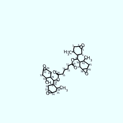 CC1CC2OC2CC1C(OC(=O)CCCCC(=O)OC(C1CC2OC2CC1C)C1CC2OC2CC1C)C1CC2OC2CC1C